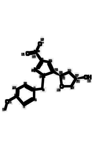 COc1ccc(Cn2nc([N+](=O)[O-])cc2[C@@H]2C[C@H](O)CO2)cc1